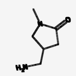 CN1CC(CN)CC1=O